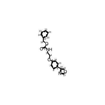 O=C(NCCOc1ccc(-c2cocn2)cc1)OCc1ccccc1